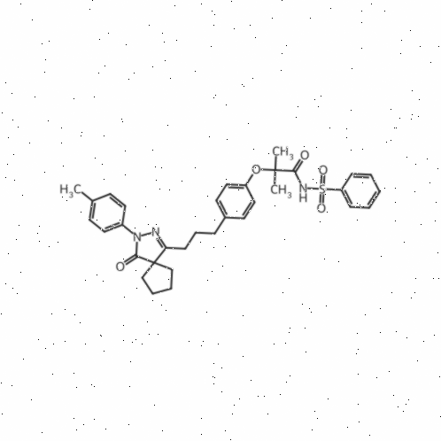 Cc1ccc(N2N=C(CCCc3ccc(OC(C)(C)C(=O)NS(=O)(=O)c4ccccc4)cc3)C3(CCCC3)C2=O)cc1